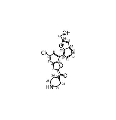 O=C(C1Cc2cc(Cl)cc(-c3ccnc4cc(CO)oc34)c2O1)N1CCNCC1